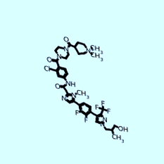 CC(CO)Cn1cc(-c2ccc(-c3cnc(C(=O)Nc4ccc(C(=O)N5CCN(C(=O)C6CC[N+](C)(C)CC6)CC5)c(Cl)c4)n3C)c(F)c2F)c(C(F)(F)F)n1